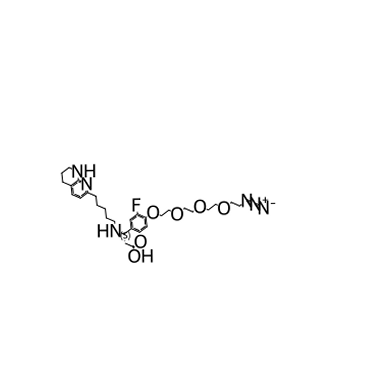 [N-]=[N+]=NCCOCCOCCOCCOc1ccc([C@H](CC(=O)O)NCCCCCc2ccc3c(n2)NCCC3)cc1F